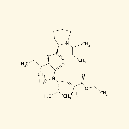 CCOC(=O)/C(C)=C/[C@H](C(C)C)N(C)C(=O)[C@H](NC(=O)[C@H]1CCCCN1C(C)CC)[C@H](C)CC